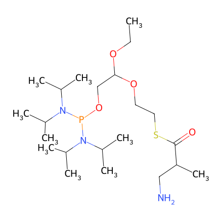 CCOC(COP(N(C(C)C)C(C)C)N(C(C)C)C(C)C)OCCSC(=O)C(C)CN